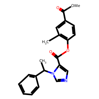 COC(=O)c1ccc(OC(=O)c2cncn2C(C)c2ccccc2)c(C)c1